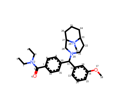 CCN(CC)C(=O)c1ccc(C(c2cccc(OC)c2)N2CCC3CCCC(C2)N3C)cc1